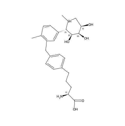 Cc1ccc([C@H]2[C@H](O)[C@H](O)[C@H](O)C[SH]2C)cc1Cc1ccc(CCC[C@H](N)C(=O)O)cc1